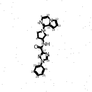 O=C(NC1CCN(c2nccn3cccc23)C1)c1ncn(-c2ccccc2)n1